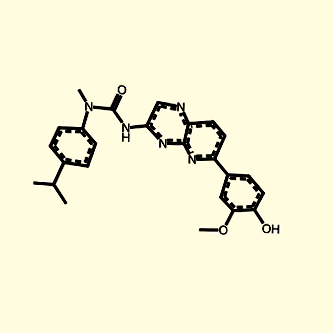 COc1cc(-c2ccc3ncc(NC(=O)N(C)c4ccc(C(C)C)cc4)nc3n2)ccc1O